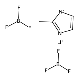 Cc1ncc[n-]1.FB(F)F.FB(F)F.[Li+]